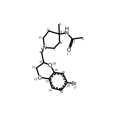 CC(=O)NC1(C)CCN(CC2COc3ccc(Br)cc3O2)CC1